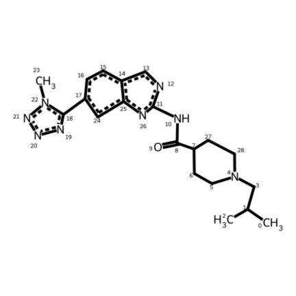 CC(C)CN1CCC(C(=O)Nc2ncc3ccc(-c4nnnn4C)cc3n2)CC1